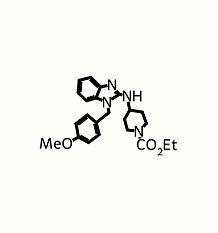 CCOC(=O)N1CCC(Nc2nc3ccccc3n2Cc2ccc(OC)cc2)CC1